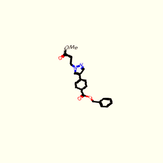 COC(=O)CCn1cc(C2=CCC(C(=O)OCc3ccccc3)CC2)cn1